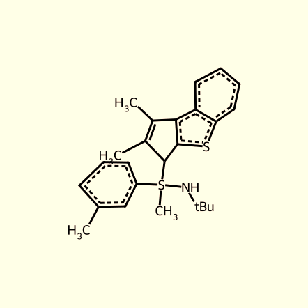 CC1=C(C)C(S(C)(NC(C)(C)C)c2cccc(C)c2)c2sc3ccccc3c21